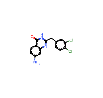 Nc1ccc2c(=O)[nH]c(Cc3ccc(Cl)c(Cl)c3)nc2c1